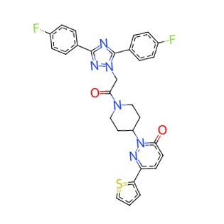 O=C(Cn1nc(-c2ccc(F)cc2)nc1-c1ccc(F)cc1)N1CCC(n2nc(-c3cccs3)ccc2=O)CC1